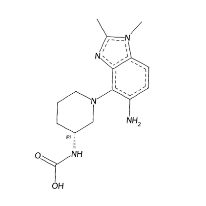 Cc1nc2c(N3CCC[C@@H](NC(=O)O)C3)c(N)ccc2n1C